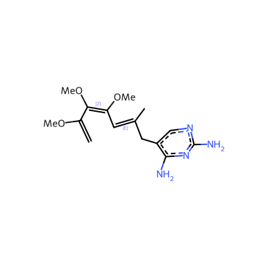 C=C(OC)/C(OC)=C(\C=C(/C)Cc1cnc(N)nc1N)OC